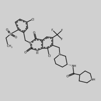 CCS(=O)(=O)c1ccc(Cl)cc1Cn1c(=O)[nH]c2c(Cl)c(CN3CCC[C@@H](NC(=O)C4CCNCC4)C3)c(C(F)(F)F)cc2c1=O